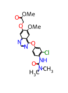 COC(=O)COc1cc2ncnc(Oc3ccc(NC(=O)N(C)C)c(Cl)c3)c2cc1OC